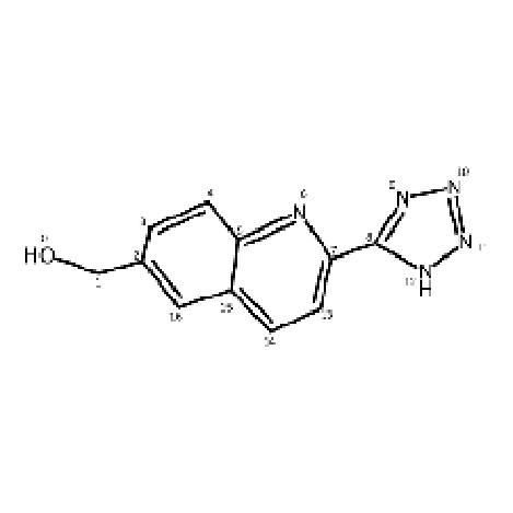 OCc1ccc2nc(-c3nnn[nH]3)ccc2c1